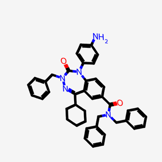 Nc1ccc(N2C(=O)N(Cc3ccccc3)N=C(C3CCCCC3)c3cc(C(=O)N(Cc4ccccc4)Cc4ccccc4)ccc32)cc1